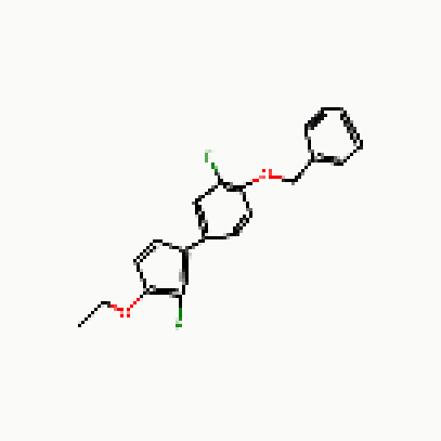 CCOc1ccc(-c2ccc(OCc3ccccc3)c(F)c2)cc1F